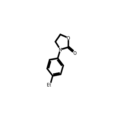 CCc1ccc(N2CCOC2=O)cc1